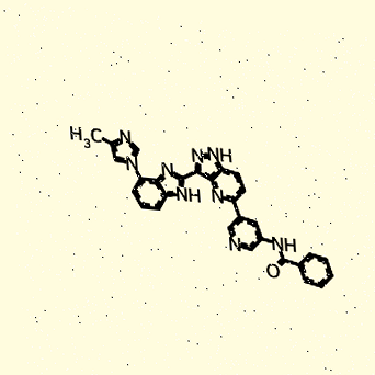 Cc1cn(-c2cccc3[nH]c(-c4n[nH]c5ccc(-c6cncc(NC(=O)c7ccccc7)c6)nc45)nc23)cn1